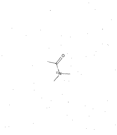 CC(=O)[15N](C)C